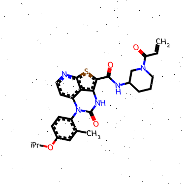 C=CC(=O)N1CCCC(NC(=O)c2sc3nccc4c3c2NC(=O)N4c2ccc(OC(C)C)cc2C)C1